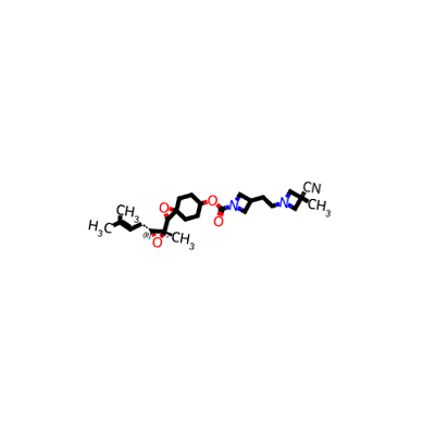 CC(C)=CC[C@H]1O[C@@]1(C)C1OC12CCC(OC(=O)N1CC(CCN3CC(C)(C#N)C3)C1)CC2